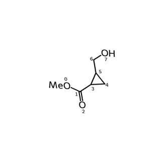 COC(=O)C1CC1CO